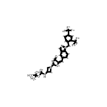 CC(C)(C)OC(=O)NC1CN(C2=NC(=O)C(=Cc3ccc4c(cnn4Cc4ccc(C(F)(F)F)cc4C(F)(F)F)c3)S2)C1